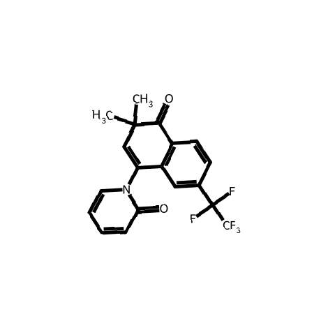 CC1(C)C=C(n2ccccc2=O)c2cc(C(F)(F)C(F)(F)F)ccc2C1=O